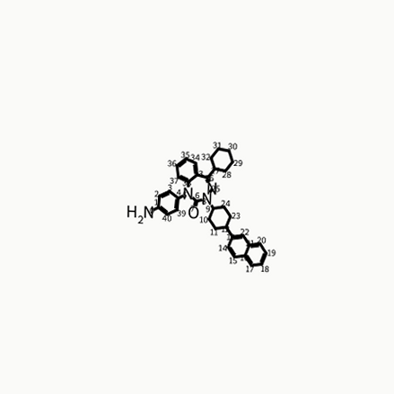 Nc1ccc(N2C(=O)N(C3CCC(c4ccc5ccccc5c4)CC3)N=C(C3CCCCC3)c3ccccc32)cc1